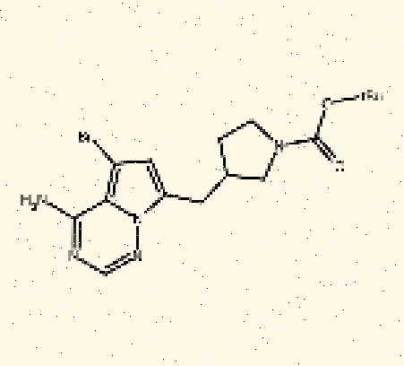 CC(C)(C)OC(=O)N1CCC(Cc2cc(Br)c3c(N)ncnn23)C1